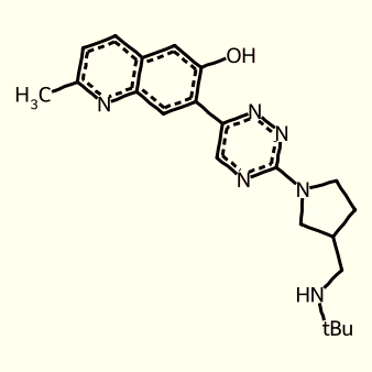 Cc1ccc2cc(O)c(-c3cnc(N4CCC(CNC(C)(C)C)C4)nn3)cc2n1